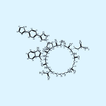 CC[C@H](C)[C@@H]1NC(=O)[C@H](CCC(N)=O)NC(=O)CCC(=O)NCCCC[C@@H](C(N)=O)NC(=O)[C@H](Cc2c[nH]c3ccccc23)NC(=O)[C@@H]2C[C@H](n3cc(-c4ccc(-c5cccs5)cc4)nn3)CN2C1=O